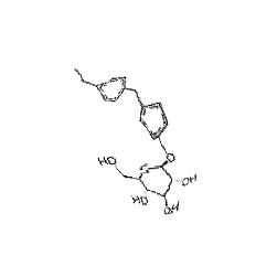 CCc1ccc(Cc2ccc(O[C@@H]3S[C@H](CO)[C@@H](O)[C@H](O)[C@H]3O)cc2)cc1